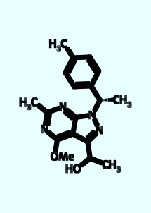 COc1nc(C)nc2c1c(C(C)O)nn2[C@@H](C)c1ccc(C)cc1